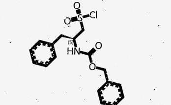 O=C(N[C@@H](Cc1ccccc1)CS(=O)(=O)Cl)OCc1ccccc1